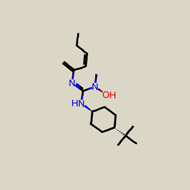 C=C(/C=C\CC)/N=C(/N[C@H]1CC[C@H](C(C)(C)C)CC1)N(C)O